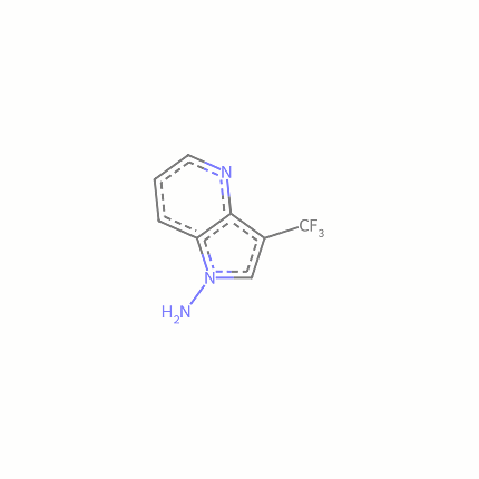 Nn1cc(C(F)(F)F)c2ncccc21